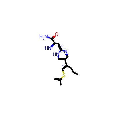 C=C(C)S/C=C(\CCC)C1=CN/C(=C\C(=N)C(N)=O)N=C1